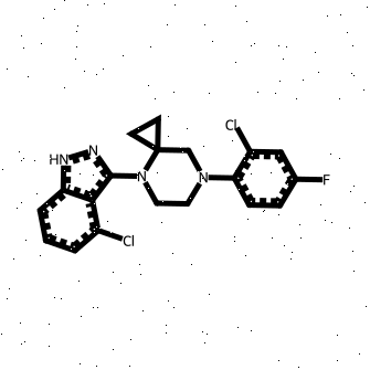 Fc1ccc(N2CCN(c3n[nH]c4cccc(Cl)c34)C3(CC3)C2)c(Cl)c1